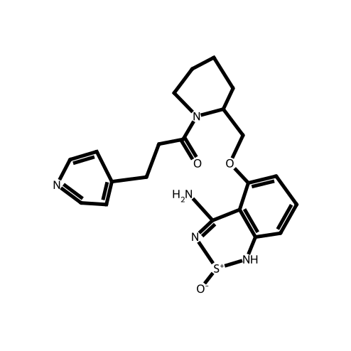 NC1=N[S+]([O-])Nc2cccc(OCC3CCCCN3C(=O)CCc3ccncc3)c21